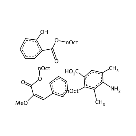 CCCCCCCCOC(=O)C(=Cc1ccccc1)OC.CCCCCCCCOC(=O)c1ccccc1O.CCCCCCCCc1c(C(=O)O)cc(C)c(N)c1C